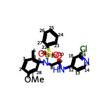 COc1ccc(C)c(N(CC(=O)Nc2ccnc(Cl)c2)S(=O)(=O)c2ccccc2)c1